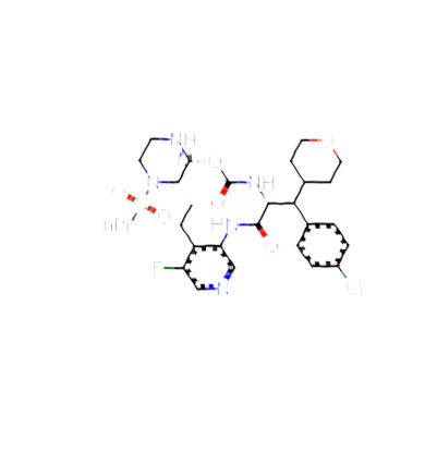 CCCS(=O)(=O)N1CCNC[C@@H]1CCc1c(F)cncc1NC(=O)[C@@H](NC(=O)OC)C(c1ccc(Cl)cc1)C1CCOCC1